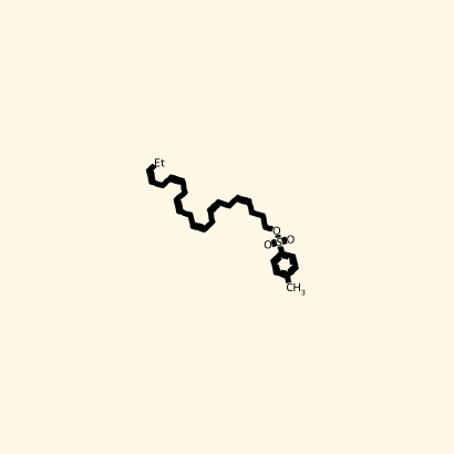 CC/C=C\C/C=C\C/C=C\C/C=C\C/C=C\C/C=C\CCCOS(=O)(=O)c1ccc(C)cc1